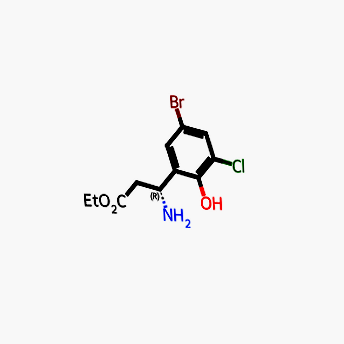 CCOC(=O)C[C@@H](N)c1cc(Br)cc(Cl)c1O